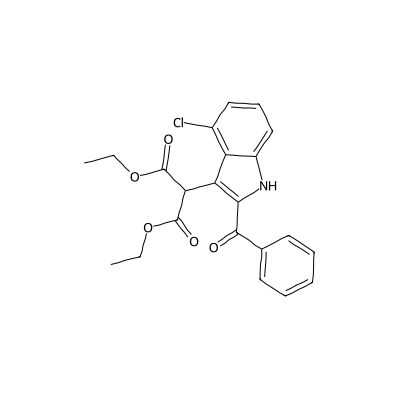 CCOC(=O)C(C(=O)OCC)c1c(C(=O)c2ccccc2)[nH]c2cccc(Cl)c12